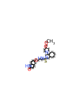 COCOC1CCN(CCN(CC2CCCCCCC2)C(=S)NCCCOc2ccc3[nH]c(=O)ccc3c2)CC1